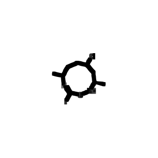 CC1CCC(Cl)C[C@@H](C)NO/C(I)=N\1